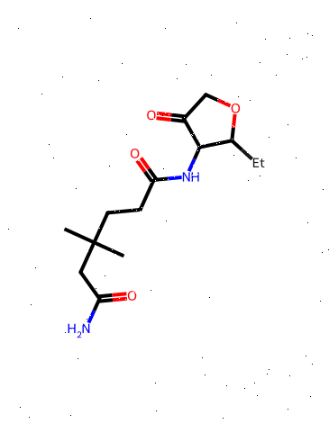 CCC1OCC(=O)C1NC(=O)CCC(C)(C)CC(N)=O